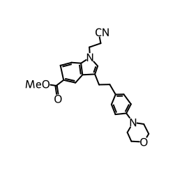 COC(=O)c1ccc2c(c1)c(CCc1ccc(N3CCOCC3)cc1)cn2CCC#N